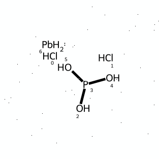 Cl.Cl.OP(O)O.[PbH2]